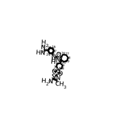 Cc1nc(S(=O)(=O)N2CCC(C3(NC(=O)Nc4cccc(C(=N)N)c4)CCCCCC3)CC2)sc1N